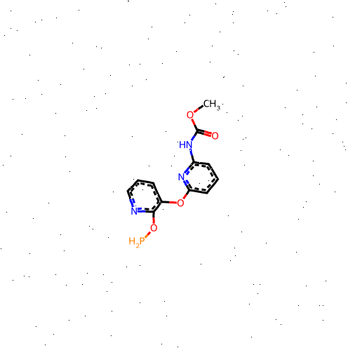 COC(=O)Nc1cccc(Oc2cccnc2OP)n1